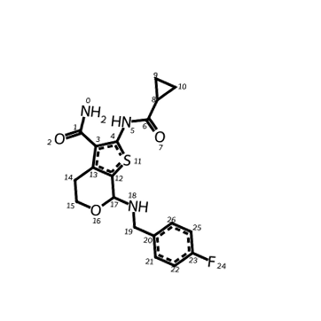 NC(=O)c1c(NC(=O)C2CC2)sc2c1CCOC2NCc1ccc(F)cc1